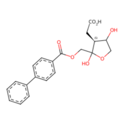 O=C(O)C[C@H]1C(O)COC1(O)COC(=O)c1ccc(-c2ccccc2)cc1